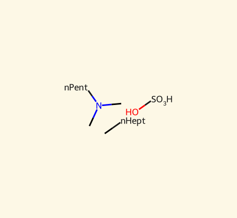 CCCCCCCC.CCCCCN(C)C.O=S(=O)(O)O